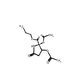 CCCOC(=O)[C@@]1(OC(C)=O)NC(=O)CC1OC(C)=O